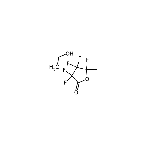 CCO.O=C1OC(F)(F)C(F)(F)C1(F)F